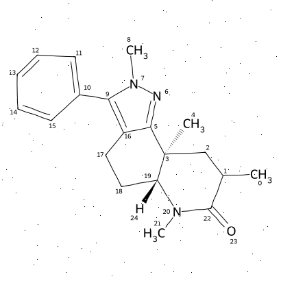 CC1C[C@]2(C)c3nn(C)c(-c4ccccc4)c3CC[C@H]2N(C)C1=O